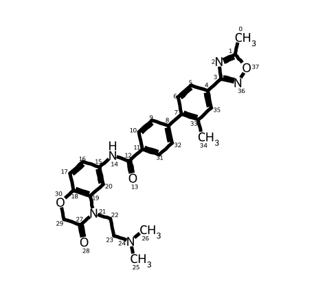 Cc1nc(-c2ccc(-c3ccc(C(=O)Nc4ccc5c(c4)N(CCN(C)C)C(=O)CO5)cc3)c(C)c2)no1